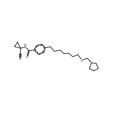 N#CC1(NC(=O)c2ccc(CCCCCCCOCC3CCCC3)cc2)CC1